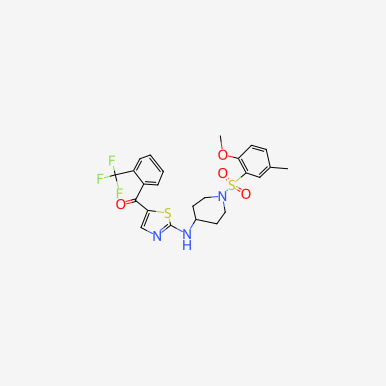 COc1ccc(C)cc1S(=O)(=O)N1CCC(Nc2ncc(C(=O)c3ccccc3C(F)(F)F)s2)CC1